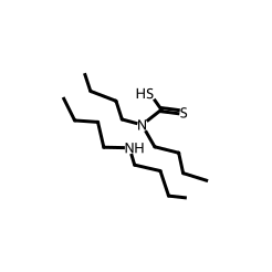 CCCCN(CCCC)C(=S)S.CCCCNCCCC